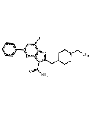 CCN1CCC(Cc2nn3c(O)cc(-c4ccccc4)nc3c2C(N)=O)CC1